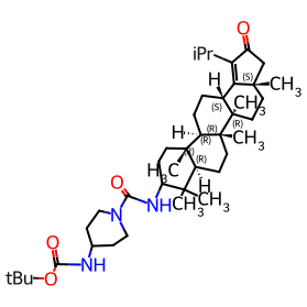 CC(C)C1=C2[C@H]3CC[C@@H]4[C@@]5(C)CCC(NC(=O)N6CCC(NC(=O)OC(C)(C)C)CC6)C(C)(C)[C@@H]5CC[C@@]4(C)[C@]3(C)CC[C@@]2(C)CC1=O